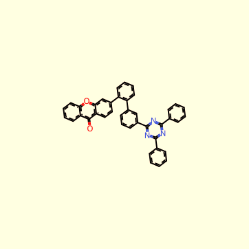 O=c1c2ccccc2oc2cc(-c3ccccc3-c3cccc(-c4nc(-c5ccccc5)nc(-c5ccccc5)n4)c3)ccc12